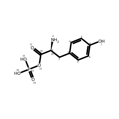 N[C@@H](Cc1ccc(O)cc1)C(=O)OP(=O)(O)O